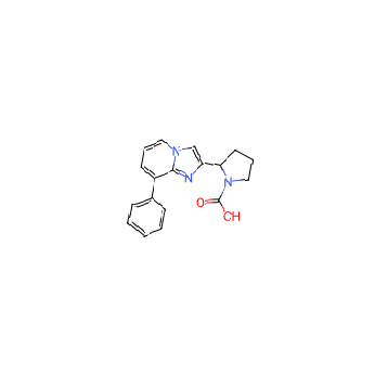 O=C(O)N1CCCC1c1cn2cccc(-c3ccccc3)c2n1